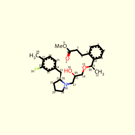 COC(=O)CCc1ccccc1[C@@H](C)OC[C@H](O)CN1CCC[C@H]1Cc1ccc(C)c(F)c1